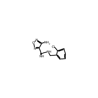 N=C(NCc1ccccc1Cl)c1nonc1N